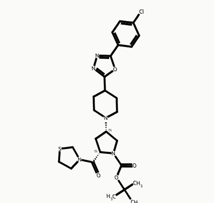 CC(C)(C)OC(=O)N1C[C@@H](N2CCC(c3nnc(-c4ccc(Cl)cc4)o3)CC2)C[C@H]1C(=O)N1CCSC1